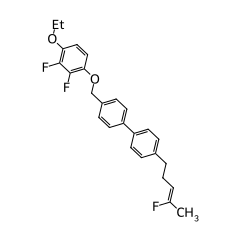 CCOc1ccc(OCc2ccc(-c3ccc(CCC=C(C)F)cc3)cc2)c(F)c1F